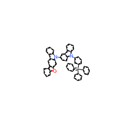 c1ccc([Si](c2ccccc2)(c2ccccc2)c2cccc(-n3c4ccccc4c4cc(-n5c6ccccc6c6cc7c(cc65)oc5ccccc57)ccc43)c2)cc1